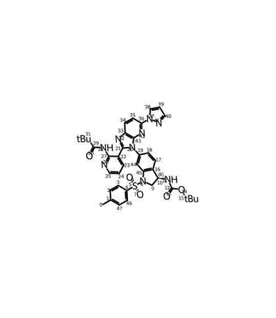 Cc1ccc(S(=O)(=O)N2C[C@H](NC(=O)OC(C)(C)C)c3ccc(-n4c(-c5cccnc5NC(=O)C(C)(C)C)nc5ccc(-n6cccn6)nc54)cc32)cc1